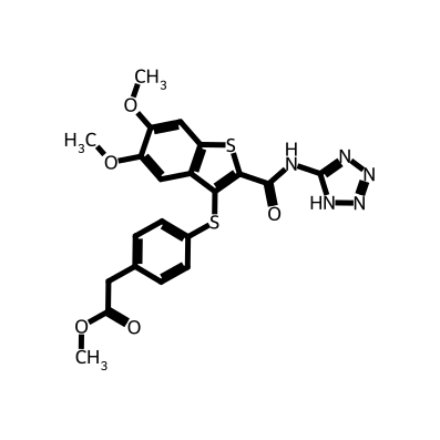 COC(=O)Cc1ccc(Sc2c(C(=O)Nc3nnn[nH]3)sc3cc(OC)c(OC)cc23)cc1